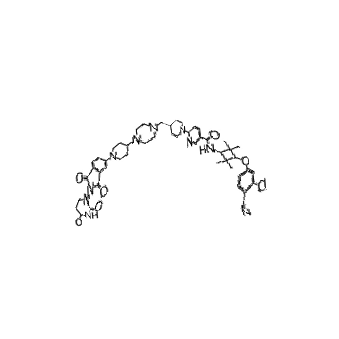 CC1(C)C(NC(=O)c2ccc(N3CCC(CN4CCN(C5CCN(c6ccc7c(c6)C(=O)N(N6CCC(=O)NC6=O)C7=O)CC5)CC4)CC3)nc2)C(C)(C)C1Oc1ccc(C#N)c(Cl)c1